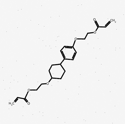 C=CC(=O)OCCOc1ccc(C2CCC(OCCOC(=O)C=C)CC2)cc1